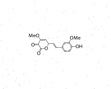 COC1=CC(C=Cc2ccc(O)c(OC)c2)OC(=O)C1=O